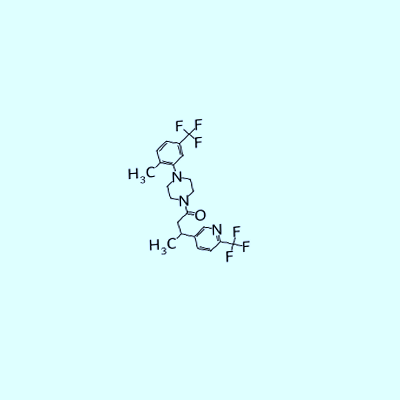 Cc1ccc(C(F)(F)F)cc1N1CCN(C(=O)CC(C)c2ccc(C(F)(F)F)nc2)CC1